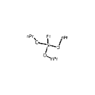 CCCO[Si](CC)(OCCC)OCCC